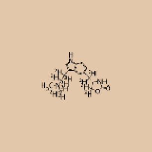 [2H]C1([2H])OC(=O)N[C@H]1C([2H])([2H])c1ccc2[nH]cc(C([2H])([2H])C([2H])([2H])N(C)C([2H])([2H])[2H])c2c1